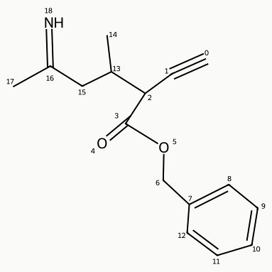 C#CC(C(=O)OCc1ccccc1)C(C)CC(C)=N